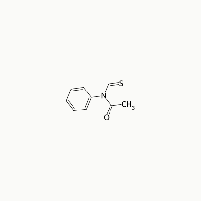 CC(=O)N(C=S)c1ccccc1